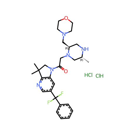 C[C@@H]1CN(CC(=O)N2CC(C)(C)c3ncc(C(F)(F)c4ccccc4)cc32)[C@@H](CN2CCOCC2)CN1.Cl.Cl